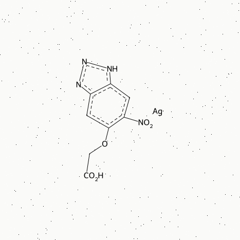 O=C(O)COc1cc2nn[nH]c2cc1[N+](=O)[O-].[Ag]